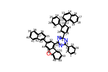 c1ccc(-c2nc(-c3ccc(-c4cccc5ccccc45)c(-c4ccccc4)c3)nc(-c3cc(-c4ccc5ccccc5c4)cc4oc5ccccc5c34)n2)cc1